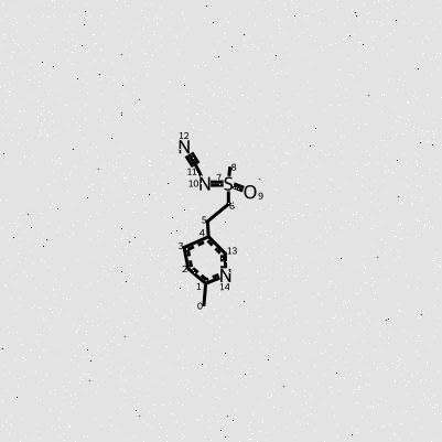 Cc1ccc(CCS(C)(=O)=NC#N)cn1